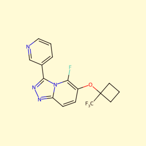 Fc1c(OC2(C(F)(F)F)CCC2)ccc2nnc(-c3cccnc3)n12